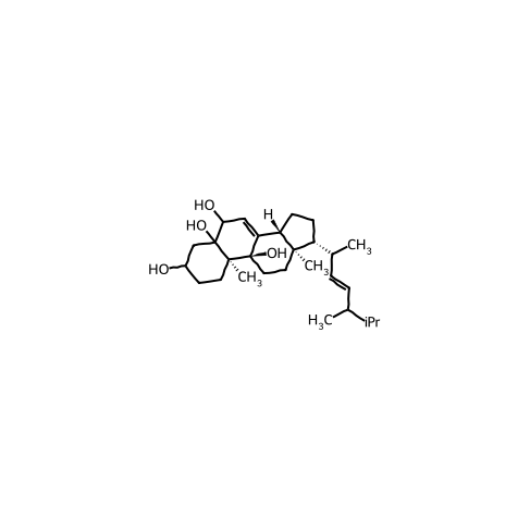 CC(C)C(C)C=CC(C)[C@H]1CC[C@H]2C3=CC(O)C4(O)CC(O)CC[C@]4(C)[C@@]3(O)CC[C@]12C